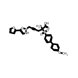 COc1ccc(-c2ccc(S(=O)(=O)C(N)(CC#CCN3NC=C(c4ccco4)O3)C(O)=S)cc2)cc1